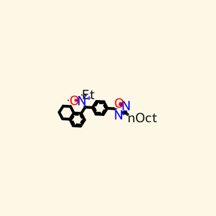 CCCCCCCCc1noc(-c2ccc(C(c3cccc4c3CCCC4)[N+]([O])CC)cc2)n1